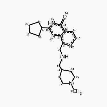 CN1CCC(CNCc2nccc3c(=O)[nH]c(C4CCCC4)nc23)CC1